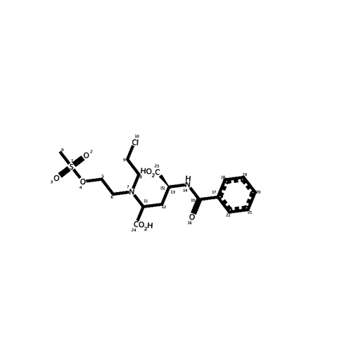 CS(=O)(=O)OCCN(CCCl)C(C[C@H](NC(=O)c1ccccc1)C(=O)O)C(=O)O